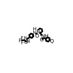 COc1ccc(C(=O)NCC2CCCCN2C(=O)Nc2ccc(-c3noc(C(F)(F)F)n3)cc2)cc1